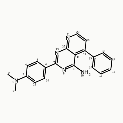 CN(C)c1ccc(-c2nc(N)c3c(-c4ccccc4)ccnc3n2)cc1